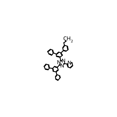 C=CCc1cccc(-c2cc(-c3ccccc3)cc(-c3nc(-c4cc(-c5ccccc5)cc(-c5ccccc5)c4)nc(-c4ccccn4)n3)c2)c1